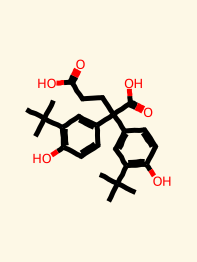 CC(C)(C)c1cc(C(CCC(=O)O)(C(=O)O)c2ccc(O)c(C(C)(C)C)c2)ccc1O